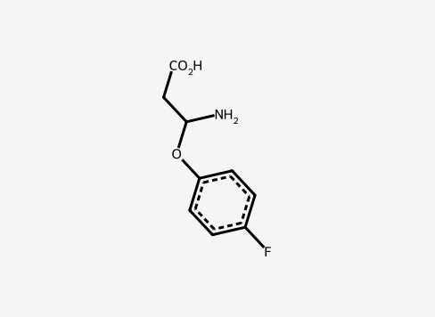 NC(CC(=O)O)Oc1ccc(F)cc1